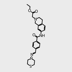 CCOC(=O)CN1CCc2ccc(NC(=O)c3ccc(/C=N/N4CCSCC4)cc3)cc2C1